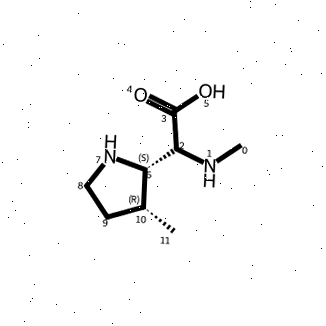 CNC(C(=O)O)[C@H]1NCC[C@H]1C